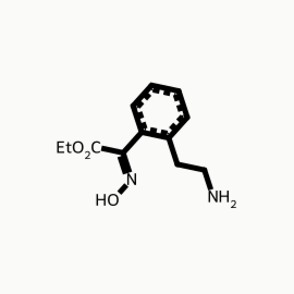 CCOC(=O)C(=NO)c1ccccc1CCN